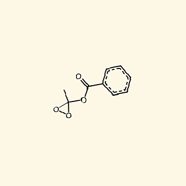 CC1(OC(=O)c2ccccc2)OO1